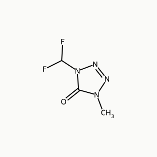 Cn1nnn(C(F)F)c1=O